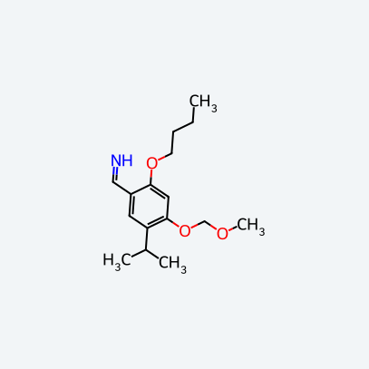 CCCCOc1cc(OCOC)c(C(C)C)cc1C=N